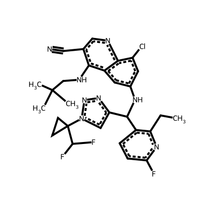 CCc1nc(F)ccc1C(Nc1cc(Cl)c2ncc(C#N)c(NCC(C)(C)C)c2c1)c1cn(C2(C(F)F)CC2)nn1